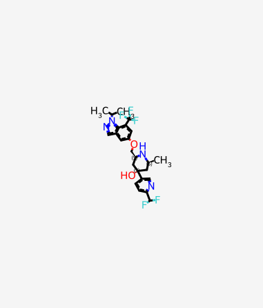 CC(C)n1ncc2cc(OC[C@@H]3C[C@](O)(c4ccc(C(F)F)nc4)C[C@H](C)N3)cc(C(F)(F)F)c21